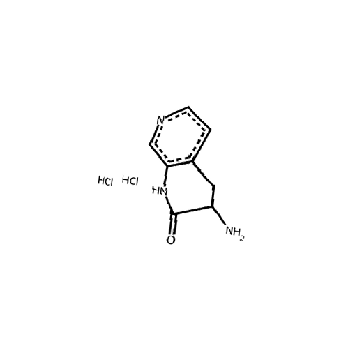 Cl.Cl.NC1Cc2ccncc2NC1=O